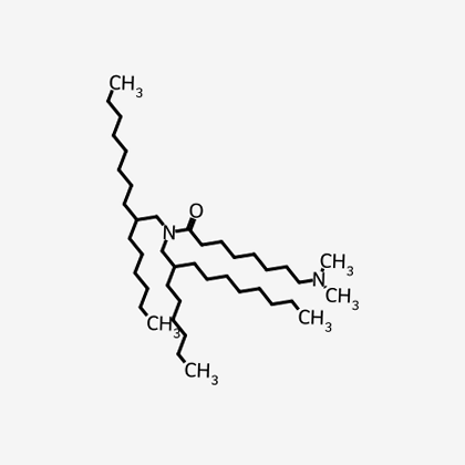 CCCCCCCCC(CCCCCC)CN(CC(CCCCCC)CCCCCCCC)C(=O)CCCCCCCN(C)C